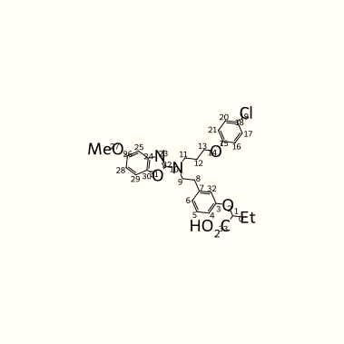 CCC(Oc1cccc(CCN(CCCOc2ccc(Cl)cc2)c2nc3cc(OC)ccc3o2)c1)C(=O)O